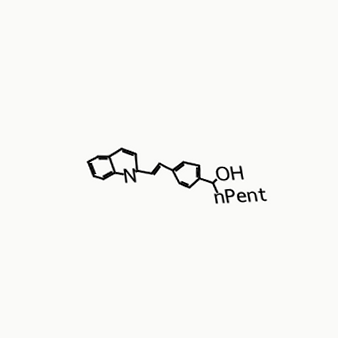 CCCCCC(O)c1ccc(/C=C/c2ccc3ccccc3n2)cc1